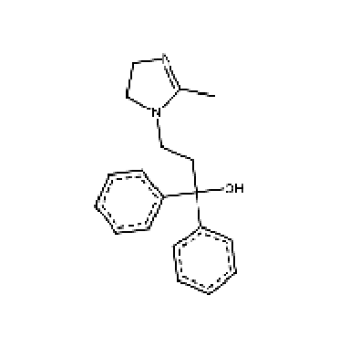 CC1=NCCN1CCC(O)(c1ccccc1)c1ccccc1